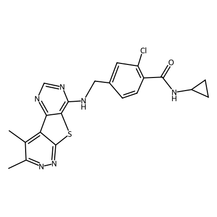 Cc1nnc2sc3c(NCc4ccc(C(=O)NC5CC5)c(Cl)c4)ncnc3c2c1C